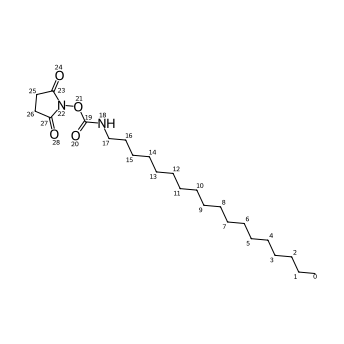 CCCCCCCCCCCCCCCCCCNC(=O)ON1C(=O)CCC1=O